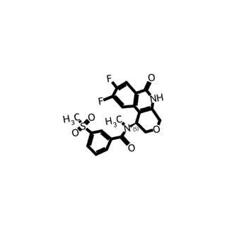 CN(C(=O)c1cccc(S(C)(=O)=O)c1)[C@@H]1COCc2[nH]c(=O)c3cc(F)c(F)cc3c21